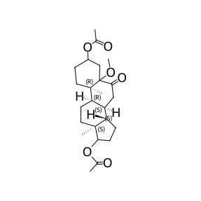 COC12CC(OC(C)=O)CC[C@]1(C)[C@@H]1CC[C@]3(C)C(OC(C)=O)CC[C@H]3[C@@H]1CC2=O